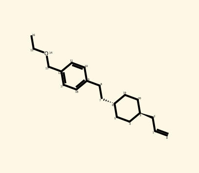 C=CC[C@H]1CC[C@H](CCc2ccc(COCC)cc2)CC1